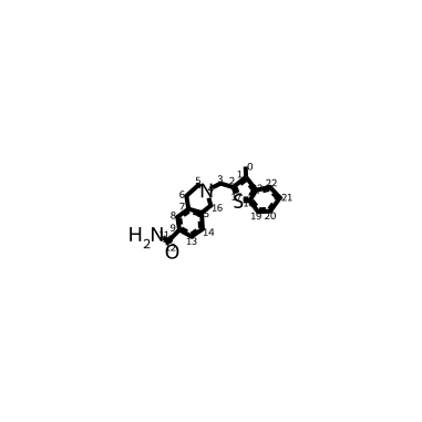 Cc1c(CN2CCc3cc(C(N)=O)ccc3C2)sc2ccccc12